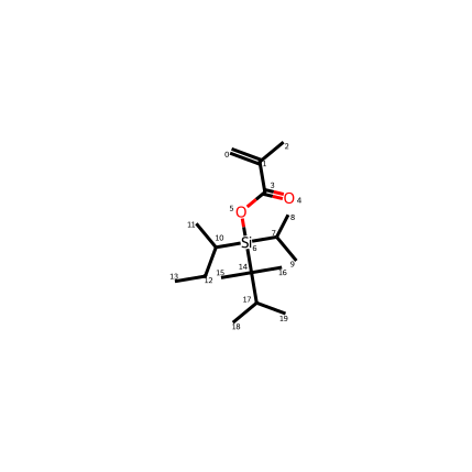 C=C(C)C(=O)O[Si](C(C)C)(C(C)CC)C(C)(C)C(C)C